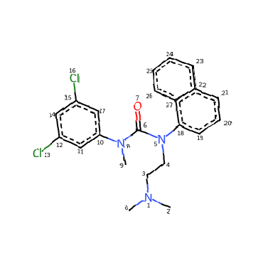 CN(C)CCN(C(=O)N(C)c1cc(Cl)cc(Cl)c1)c1cccc2ccccc12